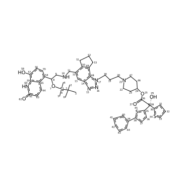 CC(C)(C)[Si](C)(C)OC(CNCc1cc2nnn(CCCN3CCC(OC(=O)[C@@](O)(c4cccs4)c4ccc(-c5ccccc5)s4)CC3)c2c2c1CCC2)c1ccc(O)c2[nH]c(=O)ccc12